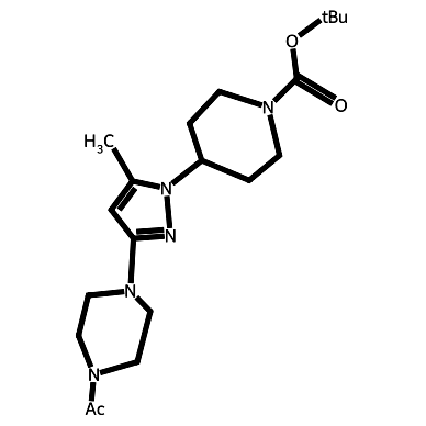 CC(=O)N1CCN(c2cc(C)n(C3CCN(C(=O)OC(C)(C)C)CC3)n2)CC1